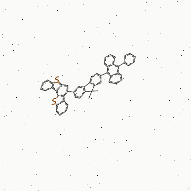 CC1(C)c2ccc(-c3cc4sc5ccccc5c4c4sc5ccccc5c34)cc2-c2ccc(-c3c4ccccc4c(-c4ccccc4)c4ccccc34)cc21